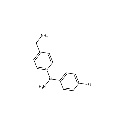 CCc1ccc(N(N)c2ccc(CN)cc2)cc1